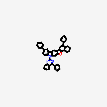 c1ccc(-c2ccc3c(c2)c2cc4c(cc2n3-c2nc(-c3ccccc3)c3ccccc3n2)oc2c3ccccc3c(-c3ccccc3)cc42)cc1